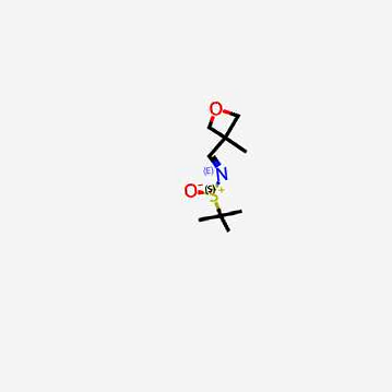 CC1(/C=N/[S@+]([O-])C(C)(C)C)COC1